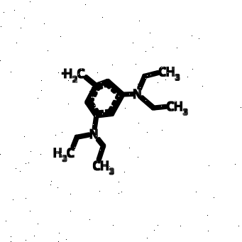 [CH2]c1cc(N(CC)CC)cc(N(CC)CC)c1